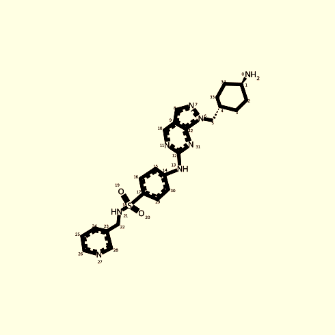 N[C@H]1CC[C@H](Cn2ncc3cnc(Nc4ccc(S(=O)(=O)NCc5cccnc5)cc4)nc32)CC1